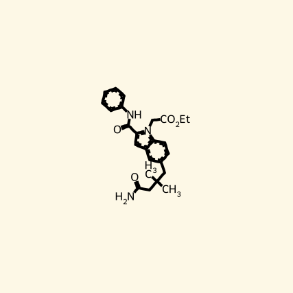 CCOC(=O)Cn1c(C(=O)Nc2ccccc2)cc2cc(CC(C)(C)CC(N)=O)ccc21